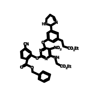 CCOC(=O)CCc1cc(Oc2nc(Oc3cc(C#N)ccc3C(=O)OCc3ccccc3)nc(NCC(=O)OCC)c2[N+](=O)[O-])cc(C2N=CCCN2)c1